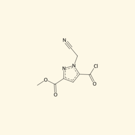 COC(=O)c1cc(C(=O)Cl)n(CC#N)n1